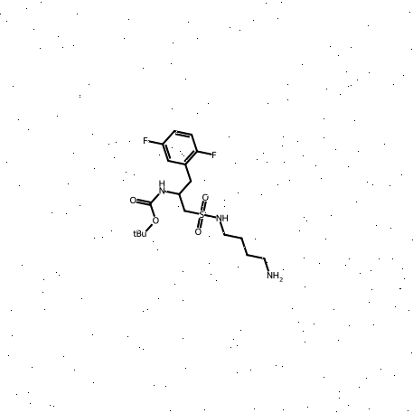 CC(C)(C)OC(=O)NC(Cc1cc(F)ccc1F)CS(=O)(=O)NCCCCN